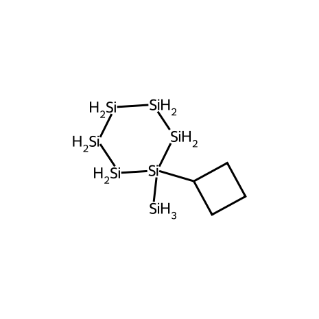 [SiH3][Si]1(C2CCC2)[SiH2][SiH2][SiH2][SiH2][SiH2]1